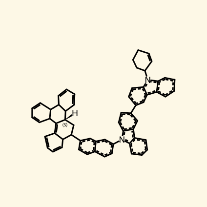 C1=CC2=C3C4C=CC=CC4C4C=CC=CC4[C@@H]3CC(c3ccc4ccc(-n5c6ccccc6c6cc(-c7ccc8c(c7)c7ccccc7n8C7C=CCCC7)ccc65)cc4c3)C2C=C1